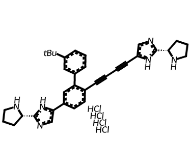 CC(C)(C)c1cccc(-c2cc(-c3cnc([C@@H]4CCCN4)[nH]3)ccc2C#CC#Cc2cnc([C@@H]3CCCN3)[nH]2)c1.Cl.Cl.Cl.Cl